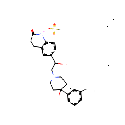 Cc1cccc(C2(O)CCN(CC(O)c3ccc4c(c3)CCC(=O)N4OS(C)(=O)=O)CC2)c1